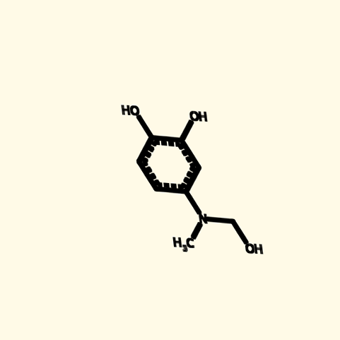 CN(CO)c1ccc(O)c(O)c1